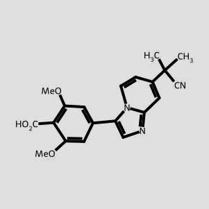 COc1cc(-c2cnc3cc(C(C)(C)C#N)ccn23)cc(OC)c1C(=O)O